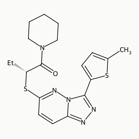 CC[C@@H](Sc1ccc2nnc(-c3ccc(C)s3)n2n1)C(=O)N1CCCCC1